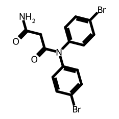 NC(=O)CC(=O)N(c1ccc(Br)cc1)c1ccc(Br)cc1